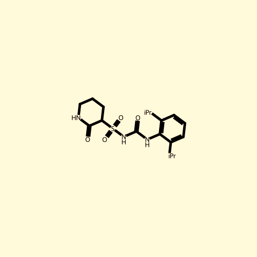 CC(C)c1cccc(C(C)C)c1NC(=O)NS(=O)(=O)C1CCCNC1=O